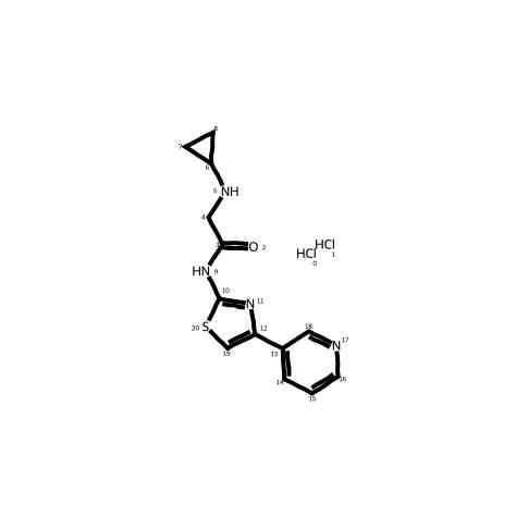 Cl.Cl.O=C(CNC1CC1)Nc1nc(-c2cccnc2)cs1